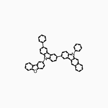 c1ccc(-c2ccc3c(c2)c2cc(-c4ccc5c(c4)c4cc6ccccc6cc4n5-c4ccccc4)ccc2n3-c2ccc3oc4ccccc4c3c2)cc1